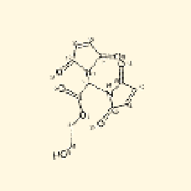 O=C(OCCO)C(N1C(=O)C=CC1=O)N1C(=O)C=CC1=O